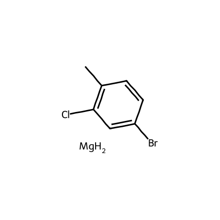 Cc1ccc(Br)cc1Cl.[MgH2]